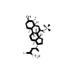 CCC(CC(C)[C@H]1CC[C@H]2[C@@H]3[C@H](O[Si](C)(C)C)C[C@@H]4[C@@H](F)[C@H](O)CC[C@]4(C)[C@H]3CC[C@]12C)C(=O)O